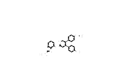 Nc1nc2c(Oc3cc(-c4ccc(C(F)(F)F)cc4)c(-c4ccc(OC(F)(F)F)cc4)cn3)cccc2s1